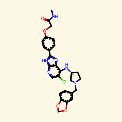 CNC(=O)COc1ccc(-c2nc3c(N[C@H]4CCN(Cc5ccc6c(c5)OCO6)C4)c(Cl)cnc3[nH]2)cc1